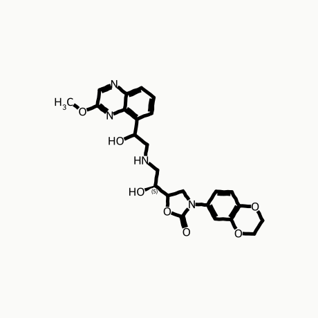 COc1cnc2cccc(C(O)CNC[C@H](O)C3CN(c4ccc5c(c4)OCCO5)C(=O)O3)c2n1